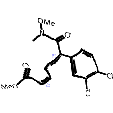 COC(=O)/C=C\C=C(\C(=O)N(C)OC)c1ccc(Cl)c(Cl)c1